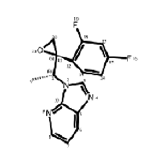 C[C@@H](n1cnc2cccnc21)[C@@]1(c2ccc(F)cc2F)CO1